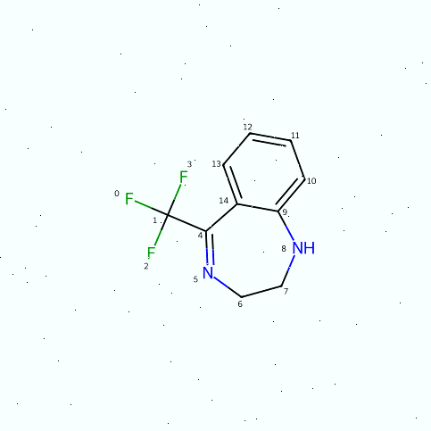 FC(F)(F)C1=NCCNc2ccccc21